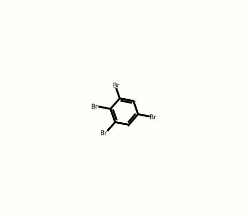 Brc1[c]c(Br)c(Br)c(Br)[c]1